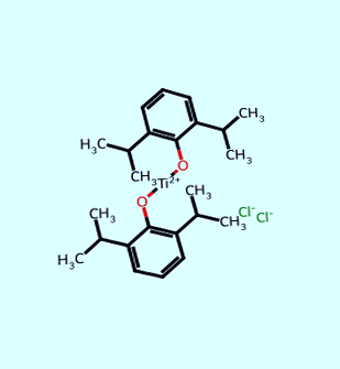 CC(C)c1cccc(C(C)C)c1[O][Ti+2][O]c1c(C(C)C)cccc1C(C)C.[Cl-].[Cl-]